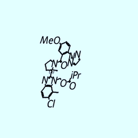 COc1ccc(-n2nccn2)c(C(=O)N2CCC[C@@]2(C)c2nc3ccc(Cl)c(C)c3n2COC(=O)C(C)C)c1